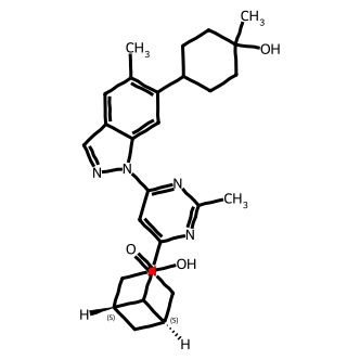 Cc1nc(N2C[C@H]3C[C@H](C2)C3C(=O)O)cc(-n2ncc3cc(C)c(C4CCC(C)(O)CC4)cc32)n1